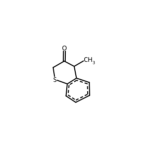 CC1C(=O)CSc2ccccc21